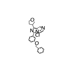 Cl[N+]12C=CN=CC1=C(C1CCOC1)N=C2c1cccc(OCc2ccccc2)c1